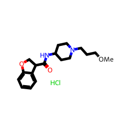 COCCCN1CCC(NC(=O)C2COc3ccccc32)CC1.Cl